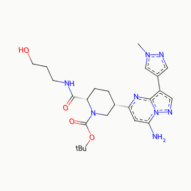 Cn1cc(-c2cnn3c(N)cc([C@H]4CC[C@@H](C(=O)NCCCO)N(C(=O)OC(C)(C)C)C4)nc23)cn1